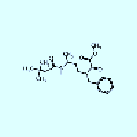 COC(=O)C(=O)N(CCC(C)NC(=O)OC(C)(C)C)Cc1ccccc1